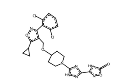 O=c1[nH]c(-c2n[nH]c(N3CCC(OCc4c(-c5c(Cl)cccc5Cl)noc4C4CC4)CC3)n2)no1